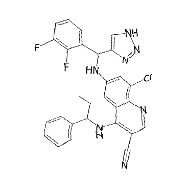 CCC(Nc1c(C#N)cnc2c(Cl)cc(NC(c3c[nH]nn3)c3cccc(F)c3F)cc12)c1ccccc1